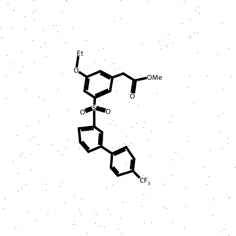 CCOc1cc(CC(=O)OC)cc(S(=O)(=O)c2cccc(-c3ccc(C(F)(F)F)cc3)c2)c1